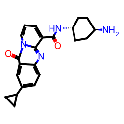 N[C@H]1CC[C@H](NC(=O)c2cccn3c(=O)c4cc(C5CC5)ccc4nc23)CC1